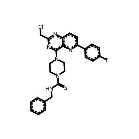 Fc1ccc(-c2ccc3nc(CCl)nc(N4CCN(C(=S)NCc5ccccc5)CC4)c3n2)cc1